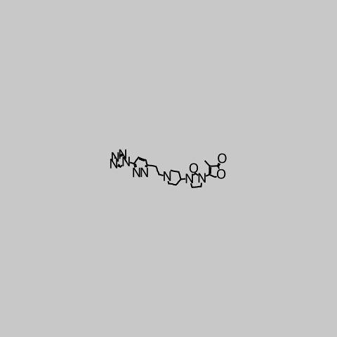 CC1=C(N2CCN(C3CCN(CCc4ccc(-n5cnnn5)nn4)CC3)C2=O)COC1=O